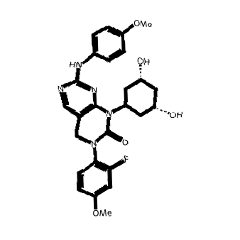 COc1ccc(Nc2ncc3c(n2)N(C2C[C@@H](O)C[C@@H](O)C2)C(=O)N(c2ccc(OC)cc2F)C3)cc1